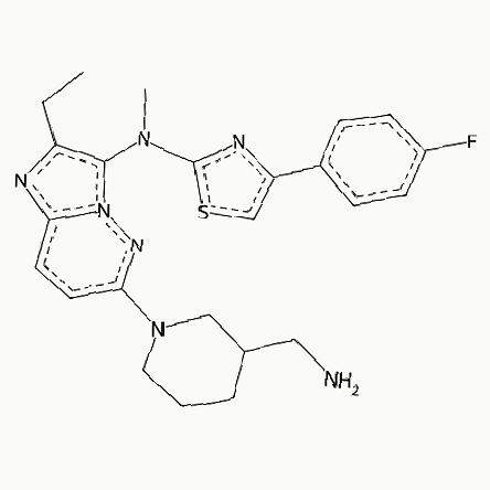 CCc1nc2ccc(N3CCCC(CN)C3)nn2c1N(C)c1nc(-c2ccc(F)cc2)cs1